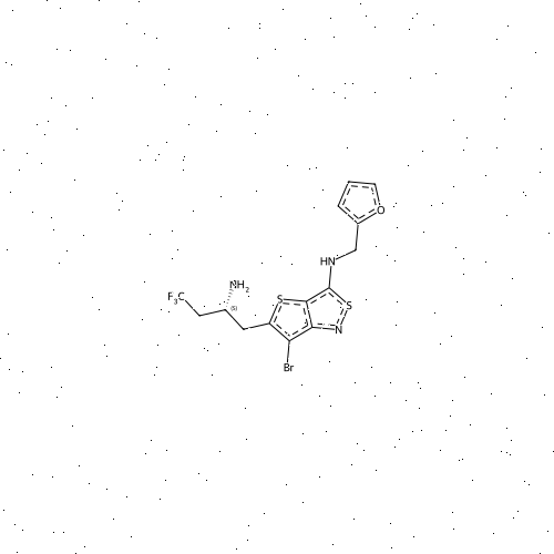 N[C@H](Cc1sc2c(NCc3ccco3)snc2c1Br)CC(F)(F)F